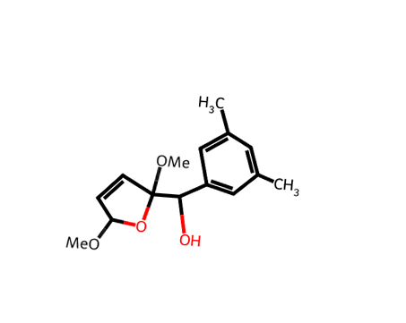 COC1C=CC(OC)(C(O)c2cc(C)cc(C)c2)O1